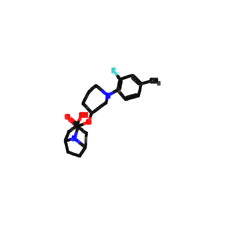 Cc1ccc(N2CCCC(OC(=O)N3C4CCC3CC(O)C4)C2)c(F)c1